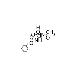 CC(=O)NCC(NC(=O)OCc1ccccc1)C(=O)O